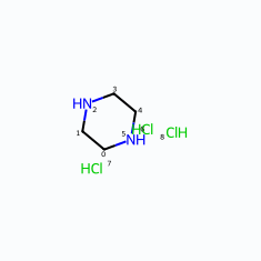 C1CNCCN1.Cl.Cl.Cl